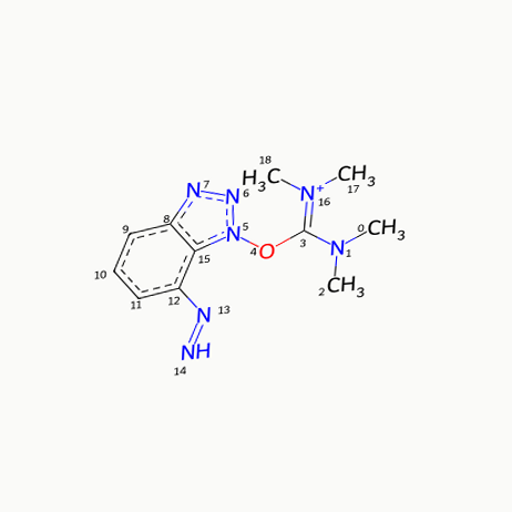 CN(C)C(On1nnc2cccc(N=N)c21)=[N+](C)C